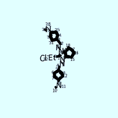 CCc1n(N=Cc2ccc(N(C)C)cc2)c2ccccc2[n+]1N=Cc1ccc(N(C)C)cc1.[Cl-]